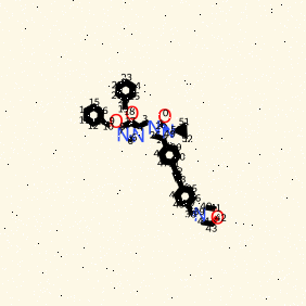 O=C1N(Cc2ncnc(OCc3ccccc3)c2OCc2ccccc2)CC(c2ccc(C#Cc3ccc(CN4CCOCC4)cc3)cc2)N1C1CC1